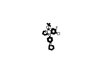 CC(C)(C)OC(=O)N1CCC[C@H]1N(c1ccc(N2CCCCC2)cc1)c1ccc(F)c(Cl)c1